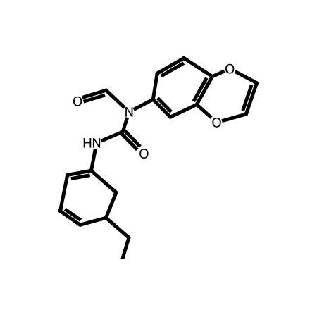 CCC1C=CC=C(NC(=O)N(C=O)c2ccc3c(c2)OC=CO3)C1